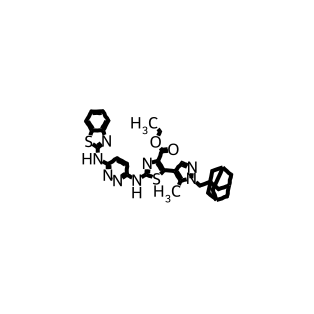 CCOC(=O)c1nc(Nc2ccc(Nc3nc4ccccc4s3)nn2)sc1-c1cnn(CC23CC4CC(CC(C4)C2)C3)c1C